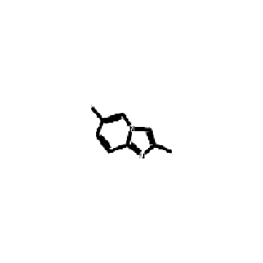 Cc1cn2cc(I)ccc2n1